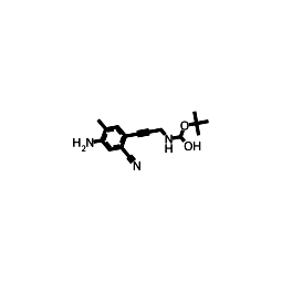 Cc1cc(C#CCNC(O)OC(C)(C)C)c(C#N)cc1N